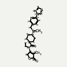 CC1=C(N2CC[C@]3(CC[C@@H](N(C)Cc4ccc(-n5ncnn5)nc4)CC3)C2=O)COC1=O